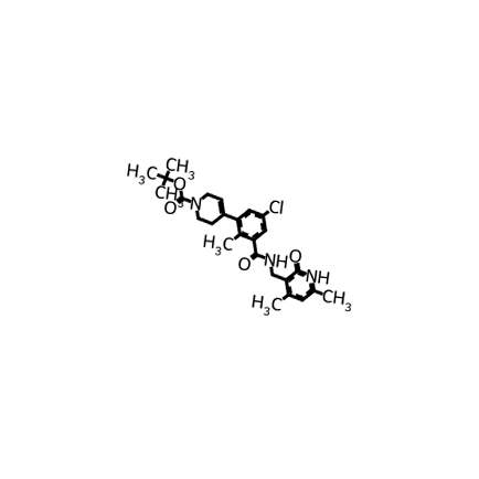 Cc1cc(C)c(CNC(=O)c2cc(Cl)cc(C3=CCN(C(=O)OC(C)(C)C)CC3)c2C)c(=O)[nH]1